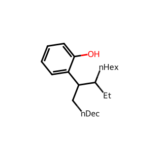 CCCCCCCCCCCC(c1ccccc1O)C(CC)CCCCCC